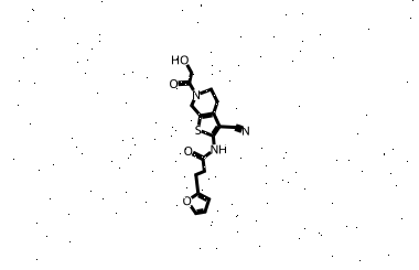 N#Cc1c(NC(=O)CCc2ccco2)sc2c1CCN(C(=O)CO)C2